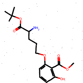 COC(=O)c1c(O)cccc1OCCCC(N)C(=O)OC(C)(C)C